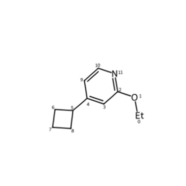 CCOc1cc(C2CCC2)ccn1